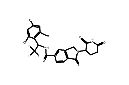 O=C1CCC(N2Cc3cc(C(=O)NC(c4c(F)cc(F)cc4Cl)C(F)(F)F)ccc3C2=O)C(=O)N1